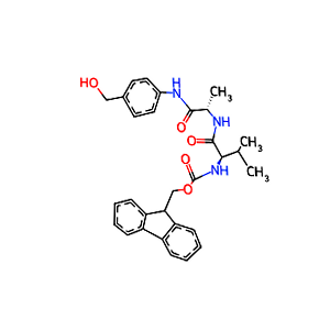 CC(C)[C@@H](NC(=O)OCC1c2ccccc2-c2ccccc21)C(=O)N[C@@H](C)C(=O)Nc1ccc(CO)cc1